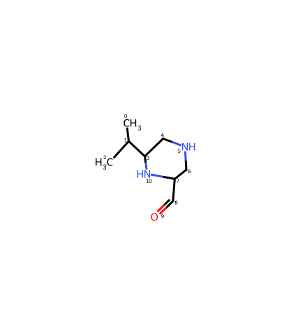 CC(C)C1CNCC(C=O)N1